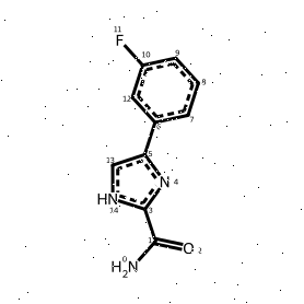 NC(=O)c1nc(-c2cccc(F)c2)c[nH]1